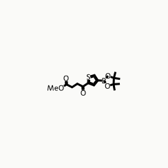 COC(=O)CCC(=O)c1cc(B2OC(C)(C)C(C)(C)O2)cs1